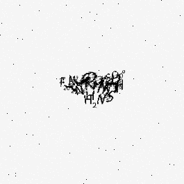 C[C@H]1C[C@H]2CSC(N)=NC2(c2nc(NC(=O)c3cnc(CF)cn3)cs2)CO1